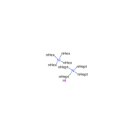 CCCCCCC[N+](CCCCCCC)(CCCCCCC)CCCCCCC.CCCCCC[N+](CCCCCC)(CCCCCC)CCCCCC.I